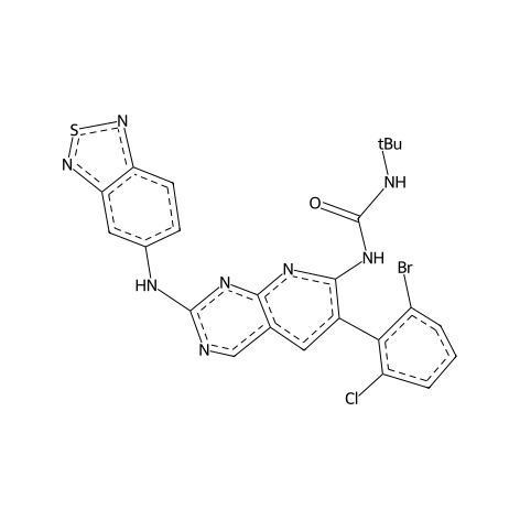 CC(C)(C)NC(=O)Nc1nc2nc(Nc3ccc4nsnc4c3)ncc2cc1-c1c(Cl)cccc1Br